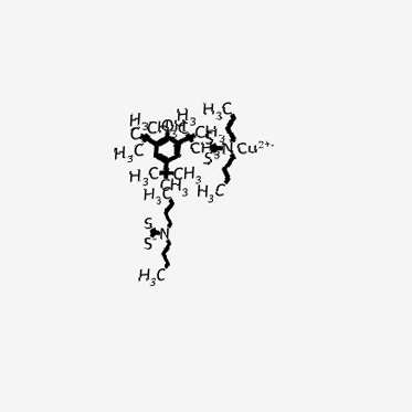 CC(C)(C)c1cc(C(C)(C)C)c(O)c(C(C)(C)C)c1.CCCCN(CCCC)C(=S)[S-].CCCCN(CCCC)C(=S)[S-].[Cu+2]